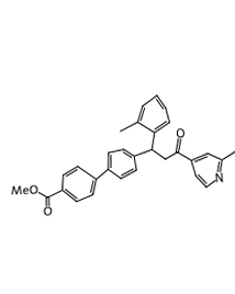 COC(=O)c1ccc(-c2ccc(C(CC(=O)c3ccnc(C)c3)c3ccccc3C)cc2)cc1